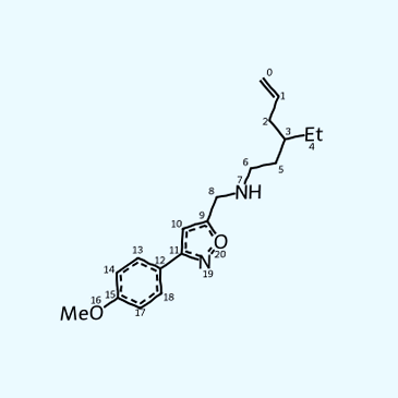 C=CCC(CC)CCNCc1cc(-c2ccc(OC)cc2)no1